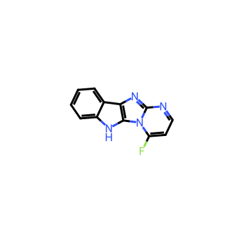 Fc1ccnc2nc3c4ccccc4[nH]c3n12